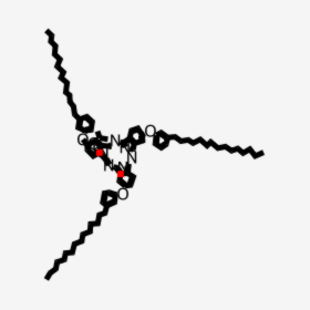 CCCCCCCCCCCCCCCc1cccc(Oc2ccc3c(c2)-c2nc-3nc3c4cc(Oc5cccc(CCCCCCCCCCCCCCC)c5)ccc4c(nc4c5cc(Oc6cccc(CCCCCCCCCCCCCCC)c6)ccc5c(n2)n4C)n3B(C)OC(C)C)c1